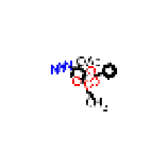 C=CCO[C@H]1OC[C@H](N=[N+]=[N-])[C@H](OC(C)=O)[C@@H]1OC(=O)c1ccccc1